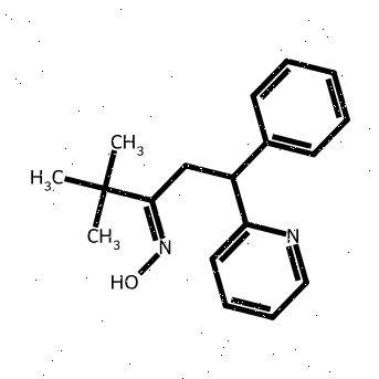 CC(C)(C)C(CC(c1ccccc1)c1ccccn1)=NO